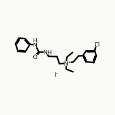 CC[N+](CC)(CCCNC(=O)Nc1ccccc1)CCc1cccc(Cl)c1.[I-]